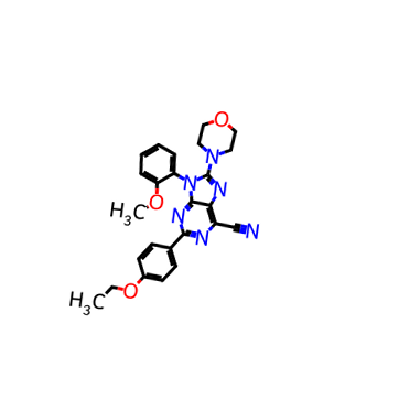 CCOc1ccc(-c2nc(C#N)c3nc(N4CCOCC4)n(-c4ccccc4OC)c3n2)cc1